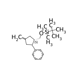 C=C1CC(c2ccccc2)[C@@H](CO[Si](C)(C)C(C)(C)C)C1